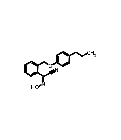 CCCc1ccc(OCc2ccccc2/C(C#N)=N\O)cc1